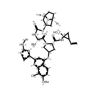 C=CC1C[C@]1(NC(=O)[C@@H]1CC(Oc2cc(-c3csc(NC(C)C)n3)nc3c(Cl)c(OC)ccc23)CN1C(=O)[C@@H](NC(=O)O[C@H]1C[C@H]2CC[C@@H](C1)O2)C(C)(C)C)C(=O)O